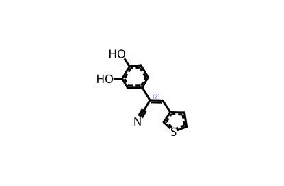 N#C/C(=C\c1ccsc1)c1ccc(O)c(O)c1